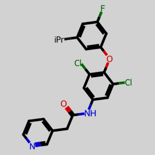 CC(C)c1cc(F)cc(Oc2c(Cl)cc(NC(=O)Cc3cccnc3)cc2Cl)c1